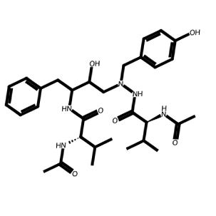 CC(=O)N[C@H](C(=O)NC(Cc1ccccc1)C(O)CN(Cc1ccc(O)cc1)NC(=O)[C@@H](NC(C)=O)C(C)C)C(C)C